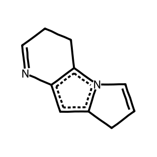 C1=Cn2c(cc3c2CCC=N3)C1